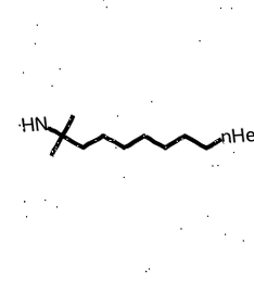 CCCCCCCCCCCCCC(C)(C)[NH]